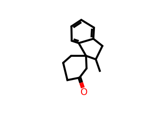 CC1Cc2ccccc2C12CCCC(=O)C2